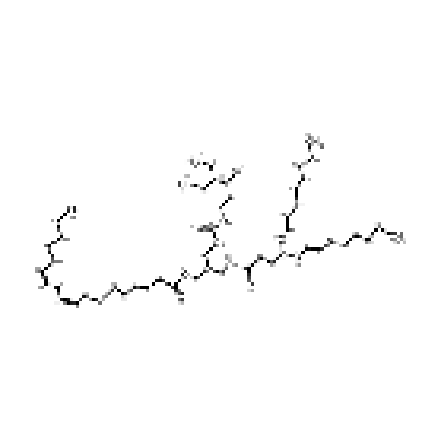 [2H]C(CCOC(=O)OCC(COC(=O)CCCCCCC/C=C\C/C=C\CCCCC)COC(=O)CCC(OCCCCCCCC)OCCCCCCCC)N(CC)CC